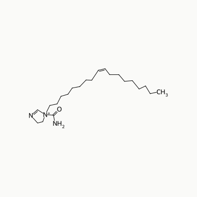 CCCCCCCC/C=C\CCCCCCCC[N+]1(C(N)=O)C=NCC1